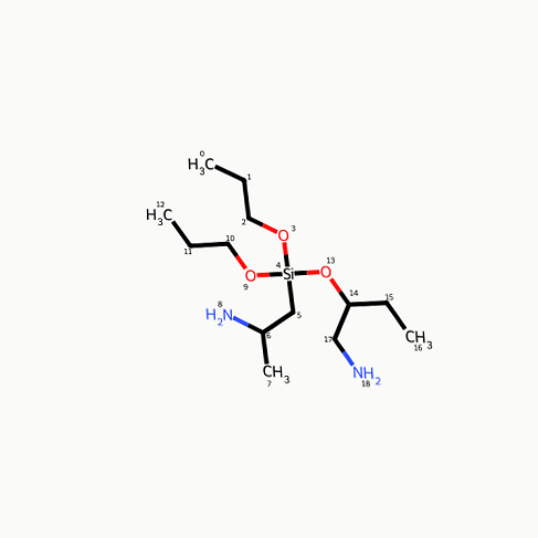 CCCO[Si](CC(C)N)(OCCC)OC(CC)CN